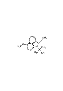 COc1ccc2c3c(cccc13)C(CN)C2C(C)(C)C